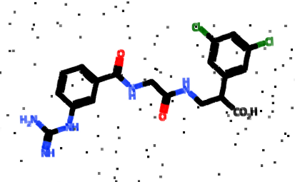 N=C(N)Nc1cccc(C(=O)NCC(=O)NCC(C(=O)O)c2cc(Cl)cc(Cl)c2)c1